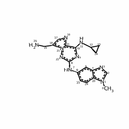 Cn1cnc2cc(Nc3nc(NC4CC4)c4ncc(CN)n4n3)ccc21